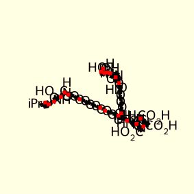 CC(C)Cc1ccc(CCCC(=O)NCCCCC(NC(=O)CCOCCOCCOCCOCCOCCOCCOCCOCCNC(=O)C(CCCCNC(=O)CN2CCN(CC(=O)O)CCN(CC(=O)O)CCN(CC(=O)O)CC2)NC(=O)CCOCCOCCOCCNC(=O)COc2ccc3c(C(=O)NCC(=O)N4CCC[C@H]4B(O)O)ccnc3c2)C(=O)O)cc1